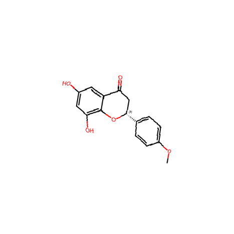 COc1ccc([C@H]2CC(=O)c3cc(O)cc(O)c3O2)cc1